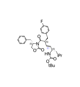 CC(C)C[C@@H](/C=C/[C@H](Cc1ccc(F)cc1)C(=O)N1C(=O)OC[C@@H]1Cc1ccccc1)NC(=O)OC(C)(C)C